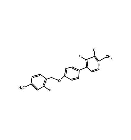 Cc1ccc(COc2ccc(-c3ccc(C)c(F)c3F)cc2)c(F)c1